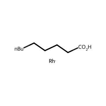 CCCCCCCCC(=O)O.[Rh]